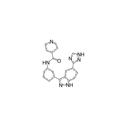 O=C(Nc1cccc(-c2n[nH]c3ccc(-c4nc[nH]n4)cc23)c1)c1ccncc1